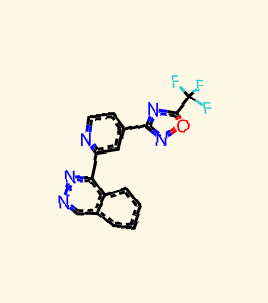 FC(F)(F)c1nc(-c2ccnc(-c3nncc4ccccc34)c2)no1